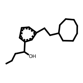 CCCC(O)c1cccc(CCC2CCCCCCC2)c1